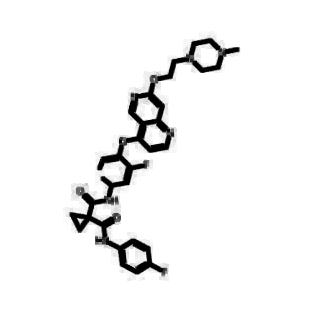 C/C=C(Oc1ccnc2cc(OCCN3CCN(C)CC3)ncc12)\C(F)=C/C(C)NC(=O)C1(C(=O)Nc2ccc(F)cc2)CC1